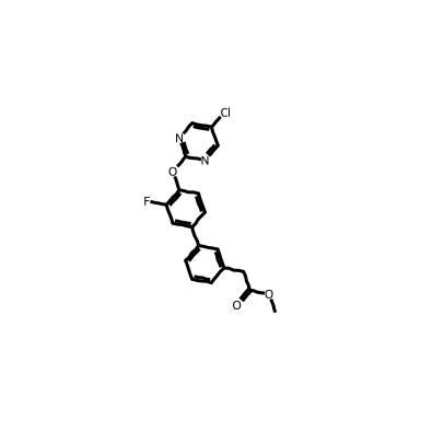 COC(=O)Cc1cccc(-c2ccc(Oc3ncc(Cl)cn3)c(F)c2)c1